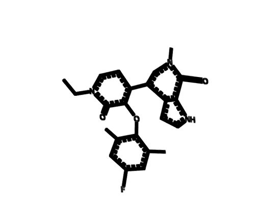 CCn1ccc(-c2cn(C)c(=O)c3[nH]ccc23)c(Oc2c(C)cc(F)cc2C)c1=O